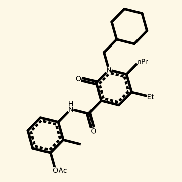 CCCc1c(CC)cc(C(=O)Nc2cccc(OC(C)=O)c2C)c(=O)n1CC1CCCCC1